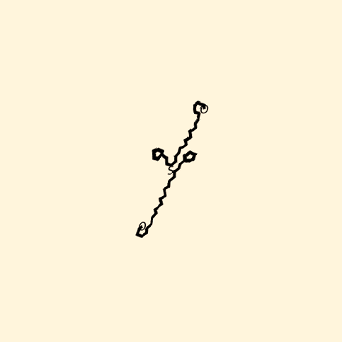 c1ccc(CCC(CCCCCCCCCCCC2CCCCO2)SC(CCCCCCCCCCCC2CCCCO2)CCc2ccccc2)cc1